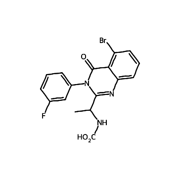 CC(NC(=O)O)c1nc2cccc(Br)c2c(=O)n1-c1cccc(F)c1